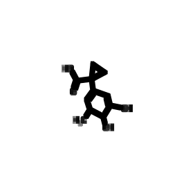 CC1C=C(C2(C(=O)O)CC2)C=C(O)C1O